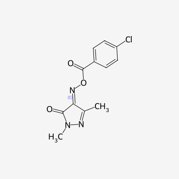 CC1=NN(C)C(=O)/C1=N/OC(=O)c1ccc(Cl)cc1